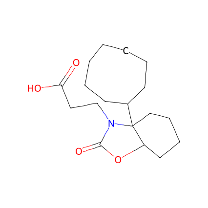 O=C(O)CCN1C(=O)OC2CCCCC21C1CCCCCCC1